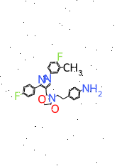 Cc1cc(-n2cc(C3OCC(=O)N3CCc3ccc(N)cc3)c(-c3ccc(F)cc3)n2)ccc1F